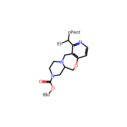 CCCCCC(CC)c1nccc2c1CN1CCN(C(=O)OC(C)(C)C)CC1CO2